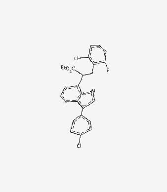 CCOC(=O)C(Cc1c(F)cccc1Cl)c1ccnc2c(-c3ccc(Cl)cc3)cnn12